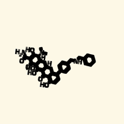 CN(C)[C@@H]1C(O)=C(C(N)=O)C(=O)[C@@]2(O)C(O)=C3C(=O)c4c(O)ccc(-c5ccc(CNCC6=CCCCC6)cc5)c4C[C@H]3C[C@@H]12